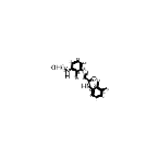 Cc1cccc(NC(=O)COc2cccc(N[C]=O)c2C)c1C